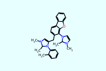 Cc1ccccc1N1C(Cc2ccc3c(oc4ccccc43)c2N2C=CN(C)C2C)=CN(C)C1C